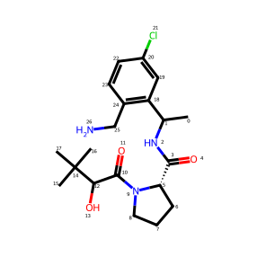 CC(NC(=O)[C@@H]1CCCN1C(=O)C(O)C(C)(C)C)c1cc(Cl)ccc1CN